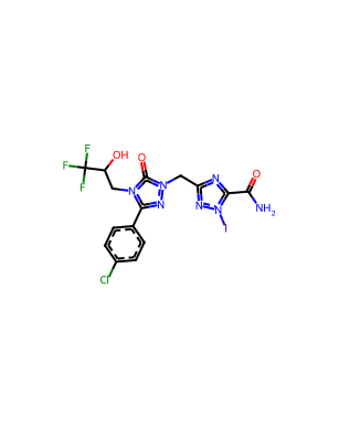 NC(=O)c1nc(Cn2nc(-c3ccc(Cl)cc3)n(CC(O)C(F)(F)F)c2=O)nn1I